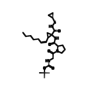 CCCCC/C=C\C1CC1(NC(=O)C1CCCN1C(=O)CNC(=O)OC(C)(C)C)C(=O)NSC1CC1